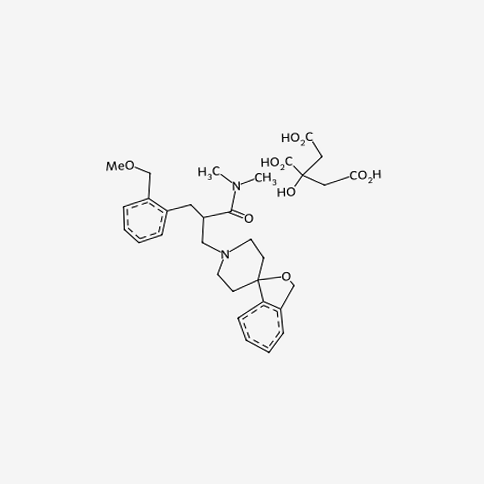 COCc1ccccc1CC(CN1CCC2(CC1)OCc1ccccc12)C(=O)N(C)C.O=C(O)CC(O)(CC(=O)O)C(=O)O